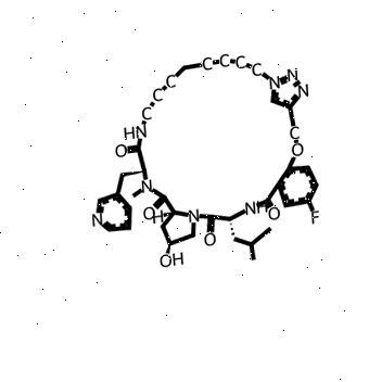 CC(C)C[C@H]1NC(=O)c2cc(F)ccc2OCc2cn(nn2)CCCCCCCCNC(=O)[C@H](Cc2cccnc2)N(C)C(=O)[C@H]2C[C@H](O)CN2C1=O